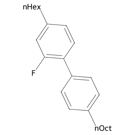 CCCCCCCCc1ccc(-c2ccc(CCCCCC)cc2F)cc1